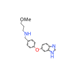 COCCCNCc1ccc(Oc2ccc3nc[nH]c3c2)cc1